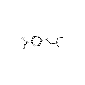 CC[C@@H](C)COc1ccc([N+](=O)[O-])cc1